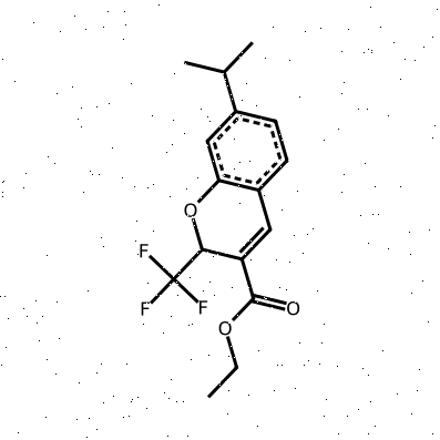 CCOC(=O)C1=Cc2ccc(C(C)C)cc2OC1C(F)(F)F